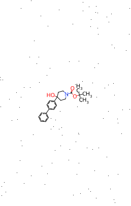 CC(C)(C)OC(=O)N1CCC(O)(c2ccc(-c3ccccc3)cc2)CC1